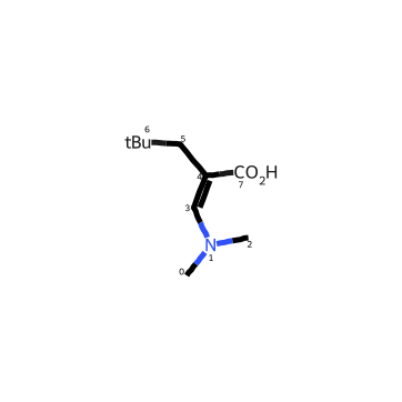 CN(C)C=C(CC(C)(C)C)C(=O)O